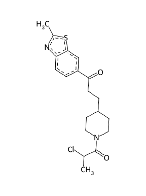 Cc1nc2ccc(C(=O)CCC3CCN(C(=O)C(C)Cl)CC3)cc2s1